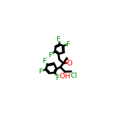 O[C@H](CCl)C(c1cc(F)c(F)cc1F)C1(Cc2cc(F)c(F)cc2F)CO1